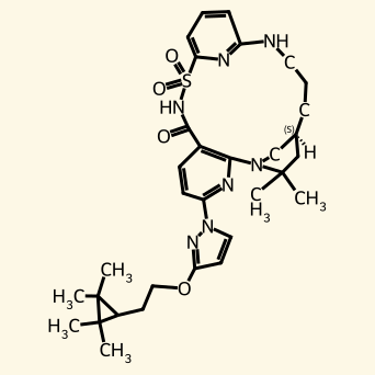 CC1(C)C[C@@H]2CCCNc3cccc(n3)S(=O)(=O)NC(=O)c3ccc(-n4ccc(OCCC5C(C)(C)C5(C)C)n4)nc3N1C2